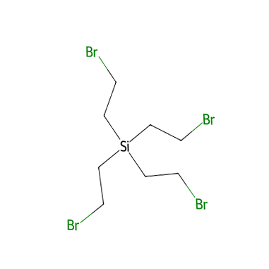 BrCC[Si](CCBr)(CCBr)CCBr